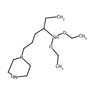 CCO[SiH](OCC)C(CC)CCCN1CCNCC1